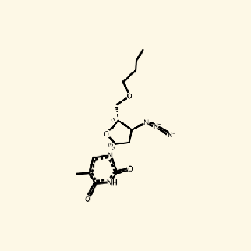 CCCCOC[C@H]1O[C@@H](n2cc(C)c(=O)[nH]c2=O)CC1N=[N+]=[N-]